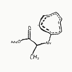 COC(=O)C(C)Nc1[c]cccc1